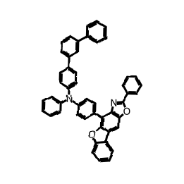 c1ccc(-c2cccc(-c3ccc(N(c4ccccc4)c4ccc(-c5c6nc(-c7ccccc7)oc6cc6c5oc5ccccc56)cc4)cc3)c2)cc1